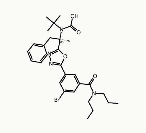 CCCN(CCC)C(=O)c1cc(Br)cc(-c2nnc([C@@](C)(Cc3ccccc3)N(C(=O)O)C(C)(C)C)o2)c1